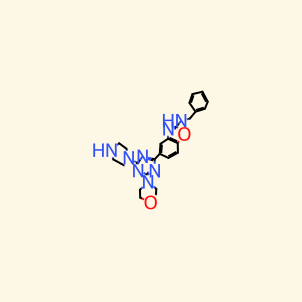 c1ccc(CNc2nc3cc(-c4nc(N5CCNCC5)nc(N5CCOCC5)n4)ccc3o2)cc1